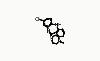 CN1CCN2CC13CC=CC1=C3C2=Nc2cc(Cl)ccc2N1